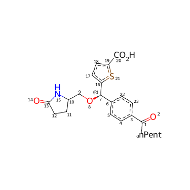 CCCCCC(=O)c1ccc([C@@H](OCC2CCC(=O)N2)c2ccc(C(=O)O)s2)cc1